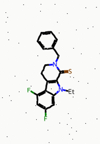 CCn1c2c(c3c(F)cc(F)cc31)CCN(Cc1ccccc1)C2=S